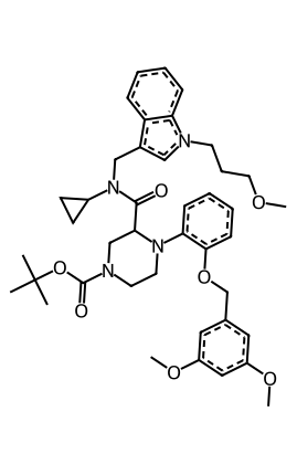 COCCCn1cc(CN(C(=O)C2CN(C(=O)OC(C)(C)C)CCN2c2ccccc2OCc2cc(OC)cc(OC)c2)C2CC2)c2ccccc21